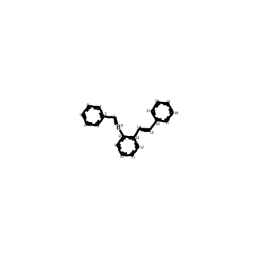 B(=Cc1ccccc1)c1ccccc1C=Cc1ccccc1